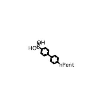 CCCCCc1ccc(-c2ccc(B(O)O)cc2)cc1